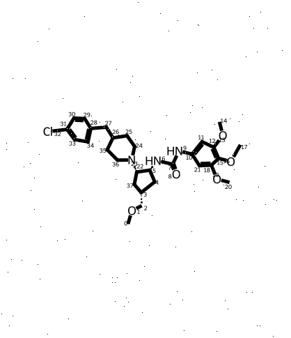 COC[C@H]1C[C@@H](NC(=O)Nc2cc(OC)c(OC)c(OC)c2)[C@@H](N2CCC(Cc3ccc(Cl)cc3)CC2)C1